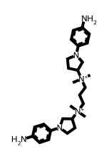 C[N+](C)(CCC[N+](C)(C)C1CCN(c2ccc(N)cc2)C1)C1CCN(c2ccc(N)cc2)C1